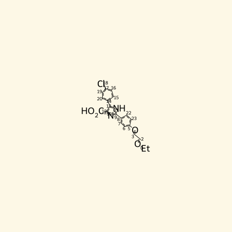 CCOCCOc1ccc(-c2nc(C(=O)O)c(-c3ccc(Cl)cc3)[nH]2)cc1